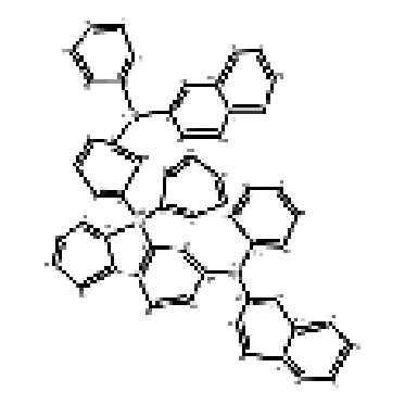 c1ccc(N(c2cccc([Si](c3ccccc3)(c3ccccc3)c3cccc(N(c4ccccc4)c4ccc5ccccc5c4)c3)c2)c2ccc3ccccc3c2)cc1